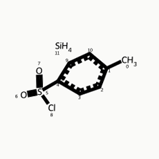 Cc1ccc(S(=O)(=O)Cl)cc1.[SiH4]